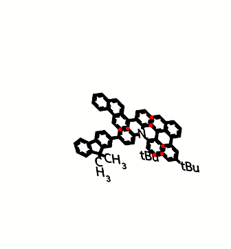 CC(C)(C)c1cc(-c2cccc3cccc(-c4ccccc4N(c4ccc(-c5ccc6c(c5)C(C)(C)c5ccccc5-6)cc4)c4ccccc4-c4cccc5c4ccc4ccccc45)c23)cc(C(C)(C)C)c1